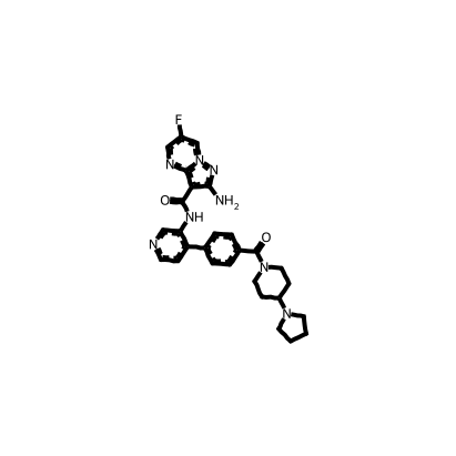 Nc1nn2cc(F)cnc2c1C(=O)Nc1cnccc1-c1ccc(C(=O)N2CCC(N3CCCC3)CC2)cc1